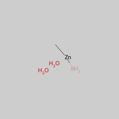 O.O.[BH2][Zn][CH3]